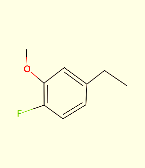 CCc1ccc(F)c(OC)c1